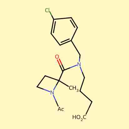 CC(=O)N1CCC1(C)C(=O)N(CCCC(=O)O)Cc1ccc(Cl)cc1